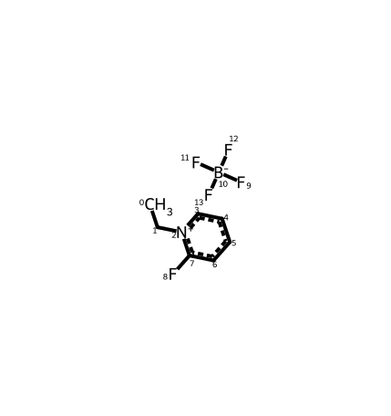 CC[n+]1ccccc1F.F[B-](F)(F)F